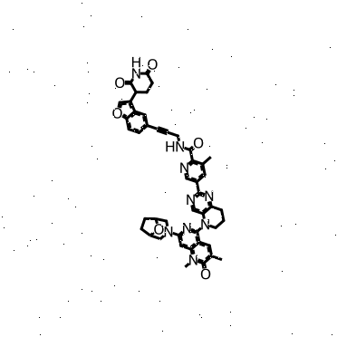 Cc1cc(-c2ncc3c(n2)CCCN3c2nc(N3CC4CCC(C3)O4)cc3c2cc(C)c(=O)n3C)cnc1C(=O)NCC#Cc1ccc2occ(C3CCC(=O)NC3=O)c2c1